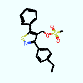 CCc1ccc(-c2nsc(-c3ccccc3)c2COS(C)(=O)=O)cc1